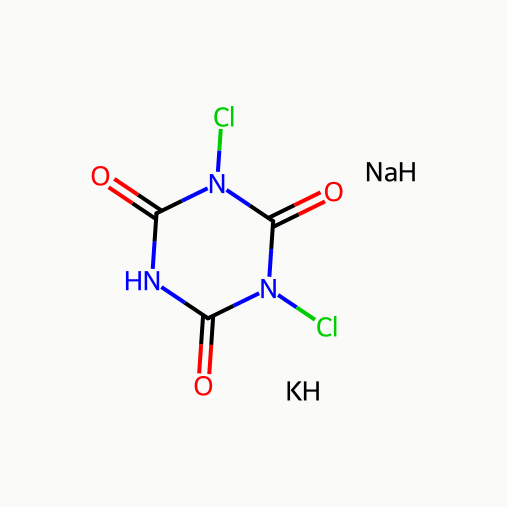 O=c1[nH]c(=O)n(Cl)c(=O)n1Cl.[KH].[NaH]